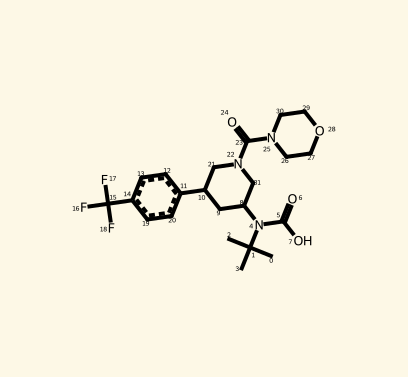 CC(C)(C)N(C(=O)O)C1CC(c2ccc(C(F)(F)F)cc2)CN(C(=O)N2CCOCC2)C1